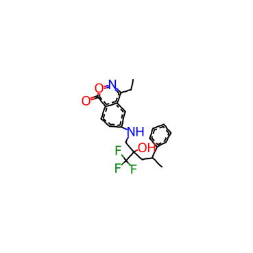 CCc1noc(=O)c2ccc(NCC(O)(CC(C)c3ccccc3)C(F)(F)F)cc12